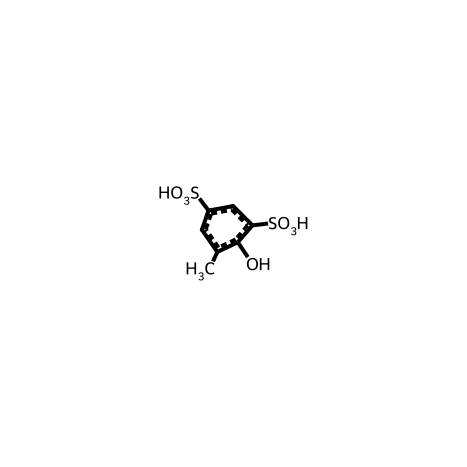 Cc1cc(S(=O)(=O)O)cc(S(=O)(=O)O)c1O